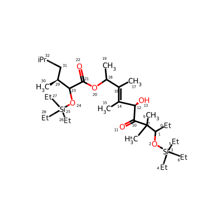 CCC(O[Si](CC)(CC)CC)C(C)(C)C(=O)[C@H](O)/C(C)=C(\C)C(C)OC(=O)C(O[Si](CC)(CC)CC)[C@@H](C)CC(C)C